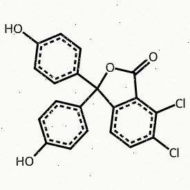 O=C1OC(c2ccc(O)cc2)(c2ccc(O)cc2)c2ccc(Cl)c(Cl)c21